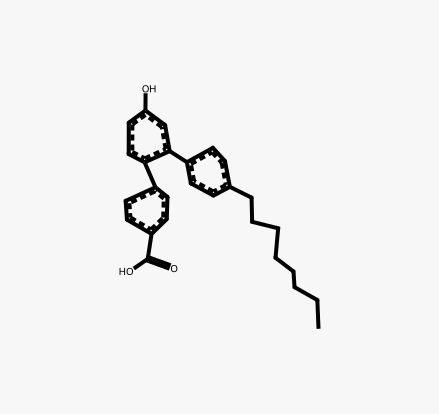 CCCCCCCCc1ccc(-c2cc(O)ccc2-c2ccc(C(=O)O)cc2)cc1